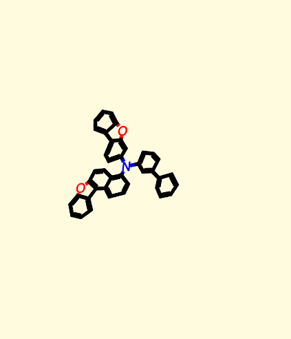 c1ccc(-c2cccc(N(c3ccc4c(c3)oc3ccccc34)c3cccc4c3ccc3oc5ccccc5c34)c2)cc1